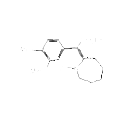 CCOC(=O)C(=C1CCCCCN1C)c1ccc(OC)c(OC)c1